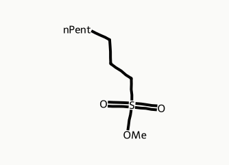 [CH2]CCCCCCCS(=O)(=O)OC